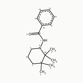 CC1(C)CCCN(NC(=O)c2ccccc2)C1(C)C